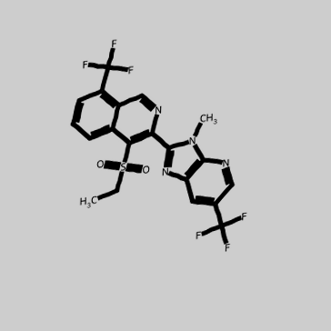 CCS(=O)(=O)c1c(-c2nc3cc(C(F)(F)F)cnc3n2C)ncc2c(C(F)(F)F)cccc12